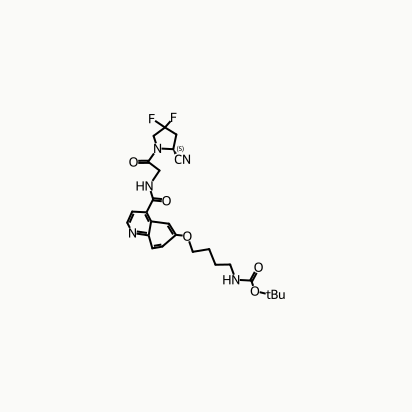 CC(C)(C)OC(=O)NCCCCOc1ccc2nccc(C(=O)NCC(=O)N3CC(F)(F)C[C@H]3C#N)c2c1